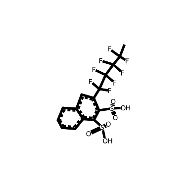 CC(F)(F)C(F)(F)C(F)(F)C(F)(F)c1cc2ccccc2c(S(=O)(=O)O)c1S(=O)(=O)O